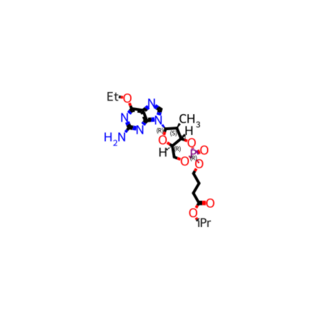 CCOc1nc(N)nc2c1ncn2[C@@H]1O[C@@H]2CO[P@@](=O)(OCCCC(=O)OC(C)C)O[C@H]2[C@@H]1C